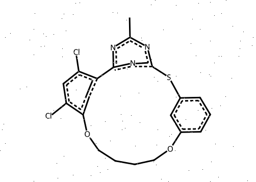 Cc1nc2nc(n1)-c1cc(c(Cl)cc1Cl)OCCCCOc1cccc(c1)S2